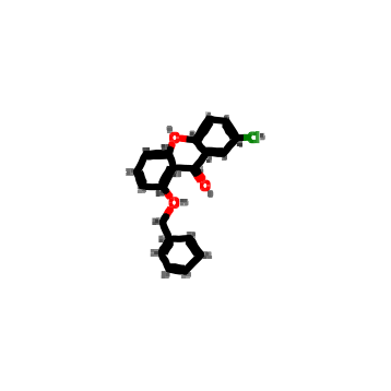 O=c1c2cc(Cl)ccc2oc2cccc(OCc3ccccc3)c12